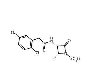 C[C@@H]1[C@H](NC(=S)Cc2cc(Cl)ccc2Cl)C(=O)N1S(=O)(=O)O